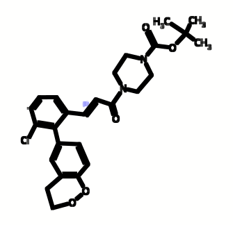 CC(C)(C)OC(=O)N1CCN(C(=O)/C=C/c2cc[c]c(Cl)c2-c2ccc3c(c2)CCOO3)CC1